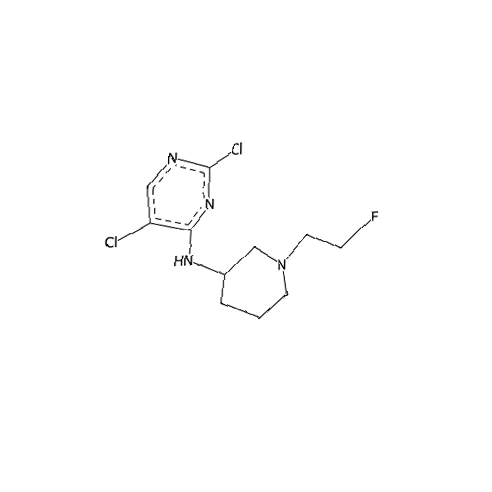 FCCN1CCCC(Nc2nc(Cl)ncc2Cl)C1